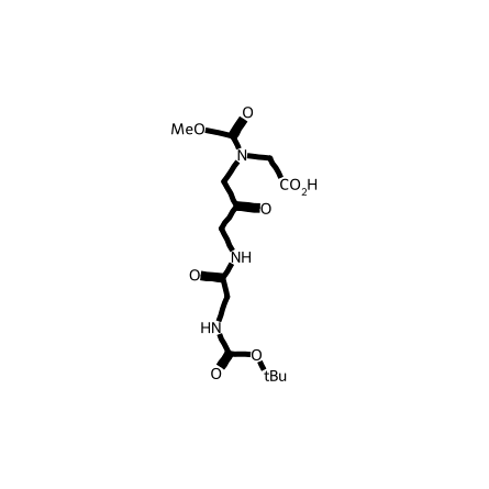 COC(=O)N(CC(=O)O)CC(=O)CNC(=O)CNC(=O)OC(C)(C)C